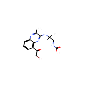 Cc1nc2cccc(C(=O)CBr)c2nc1NC(C)(C)CNC(=O)O